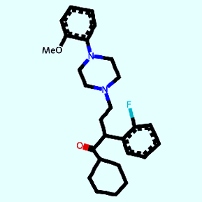 COc1ccccc1N1CCN(CCC(C(=O)C2CCCCC2)c2ccccc2F)CC1